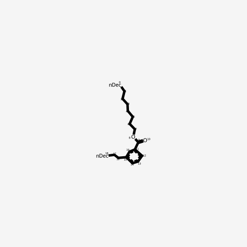 CCCCCCCCCCCCCCCCCOC(=O)c1cccc(CCCCCCCCCCCC)c1